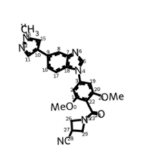 COc1cc(-n2cnc3cc(-c4cnn(C)c4)ccc32)cc(OC)c1C(=O)N1CC(C#N)C1